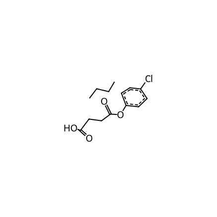 CCCC.O=C(O)CCC(=O)Oc1ccc(Cl)cc1